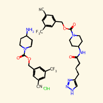 Cl.N#Cc1cc(COC(=O)N2CCC(N)CC2)cc(C(F)(F)F)c1.N#Cc1cc(COC(=O)N2CCC(NC(=O)CCCc3c[nH]nn3)CC2)cc(C(F)(F)F)c1